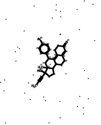 CC#CC1(O)CCC2C3CCC4=CC(=O)CCC4=C3C(c3ccc(C(C)=O)cc3)CC21C